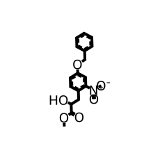 COC(=O)C(O)Cc1ccc(OCc2ccccc2)cc1[N+](=O)[O-]